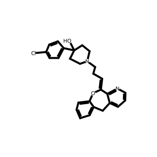 OC1(c2ccc(Cl)cc2)CCN(CCC=C2Oc3ccccc3Cc3cccnc32)CC1